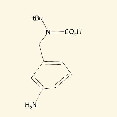 CC(C)(C)N(Cc1cccc(N)c1)C(=O)O